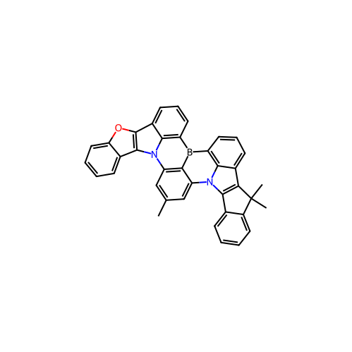 Cc1cc2c3c(c1)-n1c4c(cccc4c4oc5ccccc5c41)B3c1cccc3c4c(n-2c13)-c1ccccc1C4(C)C